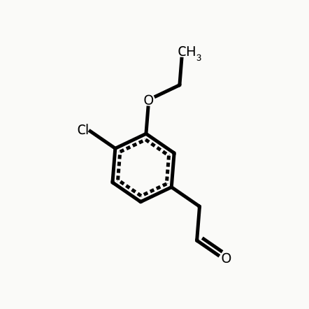 CCOc1cc(CC=O)ccc1Cl